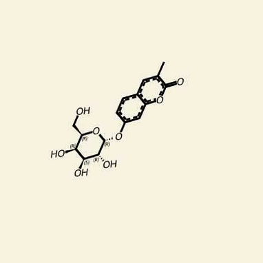 Cc1cc2ccc(O[C@H]3O[C@H](CO)[C@H](O)[C@H](O)[C@H]3O)cc2oc1=O